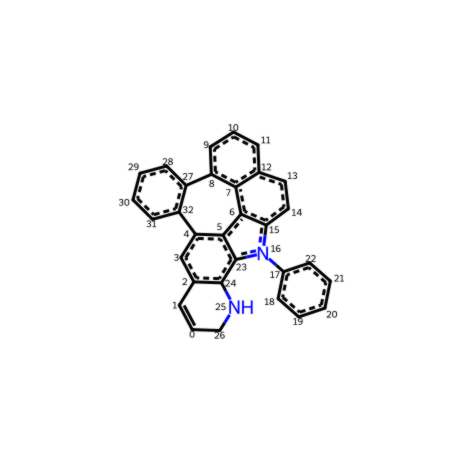 C1=Cc2cc3c4c5c6c(cccc6ccc5n(-c5ccccc5)c4c2NC1)-c1ccccc1-3